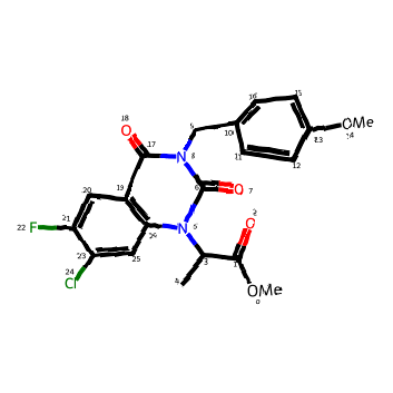 COC(=O)C(C)n1c(=O)n(Cc2ccc(OC)cc2)c(=O)c2cc(F)c(Cl)cc21